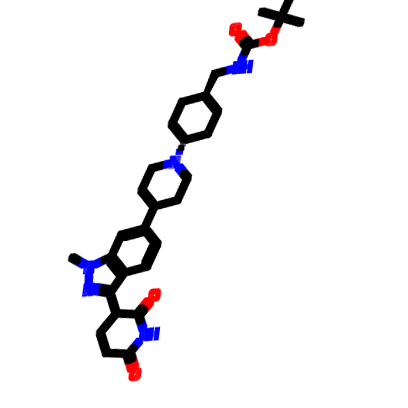 Cn1nc(C2CCC(=O)NC2=O)c2ccc(C3CCN([C@H]4CC[C@H](CNC(=O)OC(C)(C)C)CC4)CC3)cc21